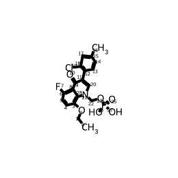 CCOc1ccc(F)c2c(=O)c(-c3ccc(C)cc3Cl)cn(COP(=O)(O)O)c12